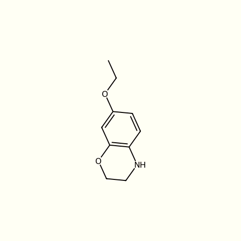 CCOc1ccc2c(c1)OCCN2